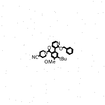 COc1cc(C(=O)N2CCC(C#N)CC2)c(-c2cccnc2OCc2ccccc2)cc1C(C)(C)C